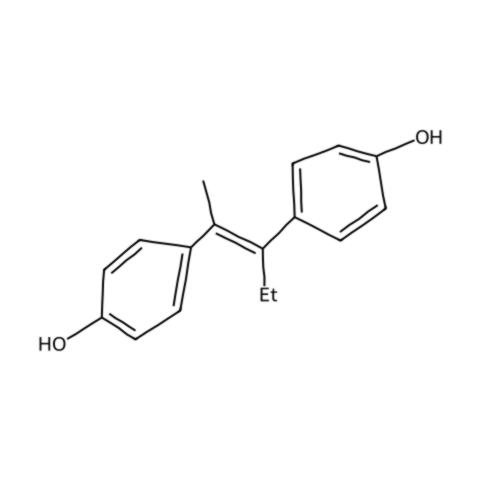 CC/C(=C(/C)c1ccc(O)cc1)c1ccc(O)cc1